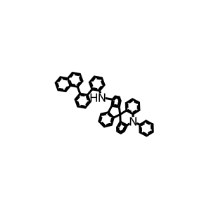 c1ccc(N2c3ccccc3C3(c4ccccc4-c4c(Nc5ccccc5-c5ccccc5-c5cccc6ccccc56)cccc43)c3ccccc32)cc1